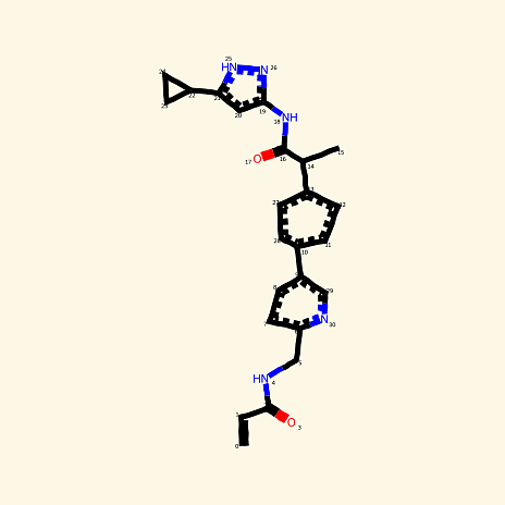 C=CC(=O)NCc1ccc(-c2ccc(C(C)C(=O)Nc3cc(C4CC4)[nH]n3)cc2)cn1